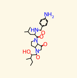 CCC(C)C(O)C(=O)N1CC(=O)C2C1CCN2C(=O)C(CC(C)C)NC(=O)c1ccc(N)cc1